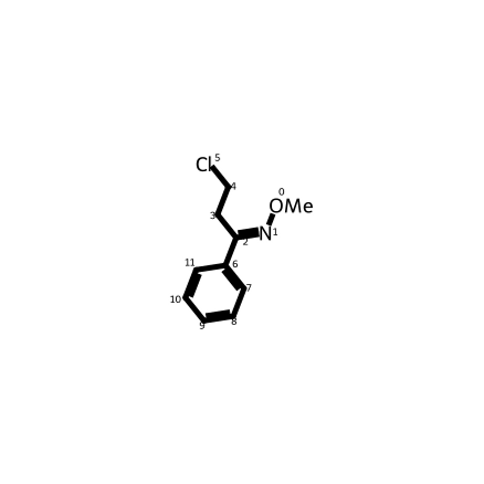 CO/N=C(\CCCl)c1ccccc1